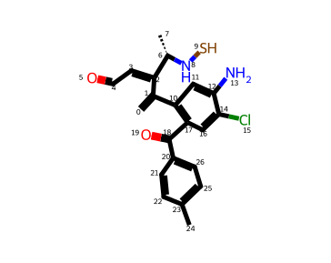 C=C(/C(=C\C=O)[C@H](C)NS)c1cc(N)c(Cl)cc1C(=O)c1ccc(C)cc1